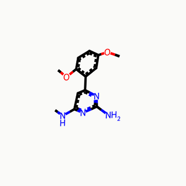 CNc1cc(-c2cc(OC)ccc2OC)nc(N)n1